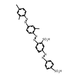 Cc1ccc(N=Nc2ccc(N=Nc3ccc(N=Nc4ccc(S(=O)(=O)O)cc4)cc3S(=O)(=O)O)c(C)c2)c(C)c1